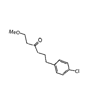 COCCC(=O)CCCc1ccc(Cl)cc1